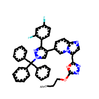 COCCOc1nnc(-c2cnc3ccc(-c4cn(C(c5ccccc5)(c5ccccc5)c5ccccc5)nc4-c4ccc(F)cc4F)cn23)o1